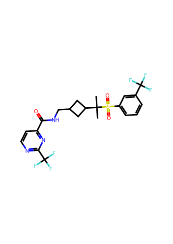 CC(C)(C1CC(CNC(=O)c2ccnc(C(F)(F)F)n2)C1)S(=O)(=O)c1cccc(C(F)(F)F)c1